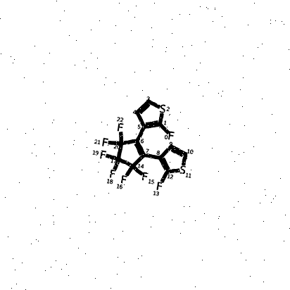 Fc1sccc1C1=C(c2ccsc2F)C(F)(F)C(F)(F)C1(F)F